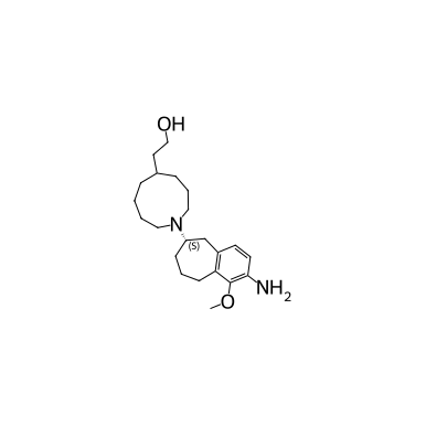 COc1c(N)ccc2c1CCC[C@H](N1CCCCC(CCO)CCC1)C2